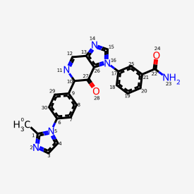 Cc1nccn1-c1ccc(C2N=Cc3ncn(-c4cccc(C(N)=O)c4)c3C2=O)cc1